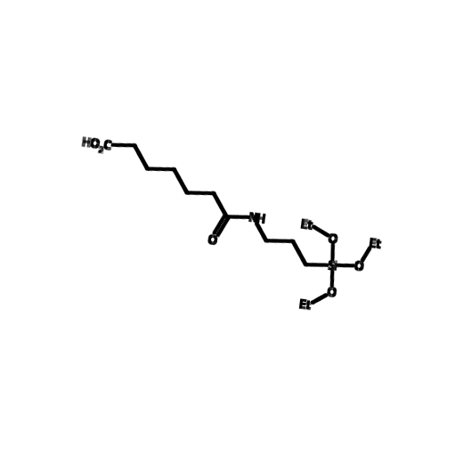 CCO[Si](CCCNC(=O)CCCCCC(=O)O)(OCC)OCC